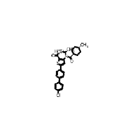 CC(C)N(c1cc(-c2ccc(-c3ccc(Cl)cc3)cc2)sc1C(=O)O)C(=O)[C@H]1CC[C@H](C)CC1